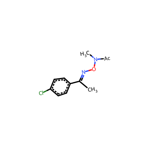 CC(=O)N(C)ON=C(C)c1ccc(Cl)cc1